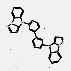 c1cc(-c2cccc(-n3c4ccccc4n4nccc34)c2)cc(-n2c3ccccc3n3nccc23)c1